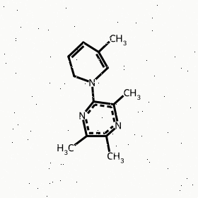 CC1=CN(c2nc(C)c(C)nc2C)CC=C1